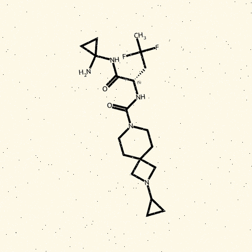 CC(F)(F)C[C@H](NC(=O)N1CCC2(CC1)CN(C1CC1)C2)C(=O)NC1(N)CC1